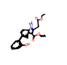 CCOC(=O)Cc1[nH]c2ccc(-c3ccccc3O)cc2c1C(=O)OCC